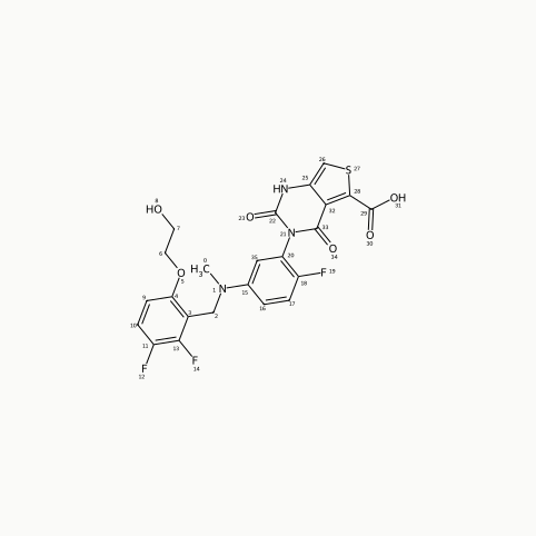 CN(Cc1c(OCCO)ccc(F)c1F)c1ccc(F)c(-n2c(=O)[nH]c3csc(C(=O)O)c3c2=O)c1